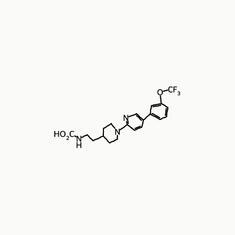 O=C(O)NCCC1CCN(c2ccc(-c3cccc(OC(F)(F)F)c3)cn2)CC1